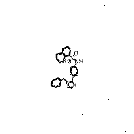 O=S(=O)(Nc1ccc(-c2nccn2Cc2ccccc2)cc1)c1cccc2cccnc12